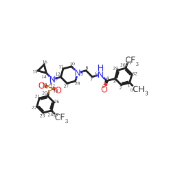 Cc1cc(C(=O)NCCN2CCC(N(C3CC3)S(=O)(=O)c3cccc(C(F)(F)F)c3)CC2)cc(C(F)(F)F)c1